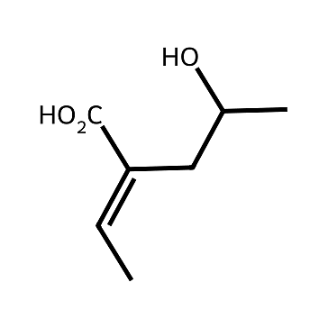 C/C=C(\CC(C)O)C(=O)O